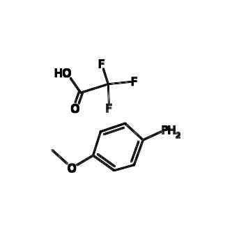 COc1ccc(P)cc1.O=C(O)C(F)(F)F